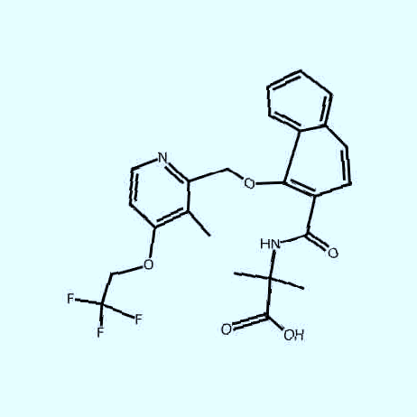 Cc1c(OCC(F)(F)F)ccnc1COc1c(C(=O)NC(C)(C)C(=O)O)ccc2ccccc12